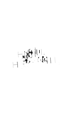 Cc1cc(-c2ccc(C3CCN(C4CCN(C)C4)CC3)cc2)sc1C(=O)N1CC[C@H](NC(=O)OC(C)(C)C)C1